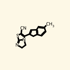 Cc1ccc2c(c1)C=C(C1=C(C#N)SC3=NCCN31)C2